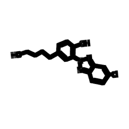 OCCCCc1ccc(O)c(-n2nc3ccc(Cl)cc3n2)c1